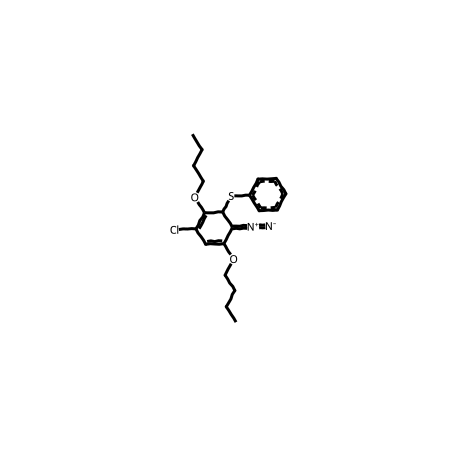 CCCCOC1=CC(Cl)=C(OCCCC)C(Sc2ccccc2)C1=[N+]=[N-]